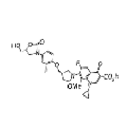 COc1c(N2CC[C@@H](COc3ccc(N4C[C@H](CO)OC4=O)cc3F)C2)c(F)cc2c(=O)c(C(=O)O)cn(C3CC3)c12